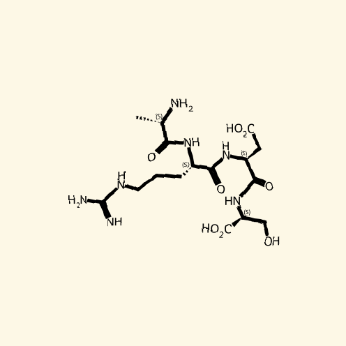 C[C@H](N)C(=O)N[C@@H](CCCNC(=N)N)C(=O)N[C@@H](CC(=O)O)C(=O)N[C@@H](CO)C(=O)O